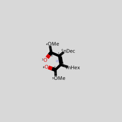 CCCCCCCCCC/C(C(=O)OC)=C(\CCCCCC)C(=O)OC